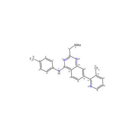 CNCc1nc(Nc2ccc(C(F)(F)F)cc2)c2ccc(-c3ncccc3C(F)(F)F)cc2n1